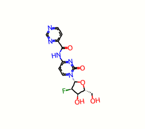 O=C(Nc1ccn([C@@H]2O[C@H](CO)[C@@H](O)[C@H]2F)c(=O)n1)c1ccncn1